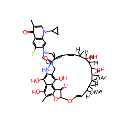 CO[C@H]1/C=C/O[C@@]2(C)Oc3c(C)c(O)c4c(O)c(c(CN5CCN(c6cc7c(cc6F)c(=O)c(C)cn7C6CC6)CC5)c(O)c4c3C2=O)NC(=O)/C(C)=C\C=C\[C@H](C)[C@H](O)[C@@H](C)[C@@H](O)[C@@H](C)[C@H](OC(C)=O)[C@@H]1C